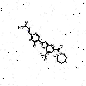 C[C@@H]1CCCCCN1C(=O)c1cc(N(C)C)n2nc(-c3ncc(/C=C/C(O)O)cc3Cl)cc2n1